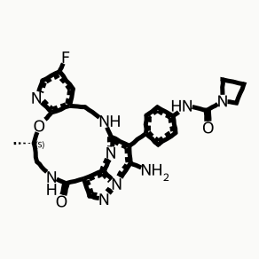 C[C@H]1CNC(=O)c2cnn3c(N)c(-c4ccc(NC(=O)N5CCC5)cc4)c(nc23)NCc2cc(F)cnc2O1